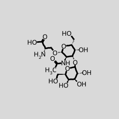 CC(=O)N[C@H]1[C@H](OC[C@H](N)C(=O)O)O[C@H](CO)[C@H](O)[C@@H]1OC1O[C@H](CO)[C@H](O)[C@H](O)[C@H]1O